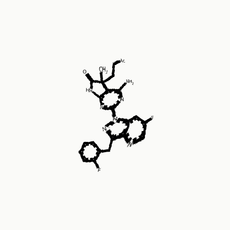 CC(=O)CCC1(C)C(=O)Nc2nc(-n3nc(Cc4ccccc4F)c4ncc(F)cc43)nc(N)c21